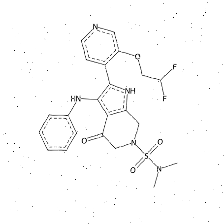 CN(C)S(=O)(=O)N1CC(=O)c2c([nH]c(-c3ccncc3OCC(F)F)c2Nc2ccccc2)C1